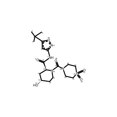 CC(C)(C)c1cc(NC(=O)[C@@H]2C[C@@H](O)CCN2C(=O)N2CCS(=O)(=O)CC2)no1